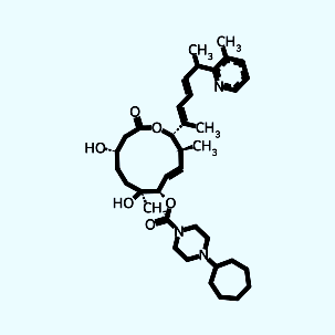 C/C(=C\C=C\C(C)c1ncccc1C)[C@H]1OC(=O)C[C@@H](O)CC[C@](C)(O)[C@@H](OC(=O)N2CCN(C3CCCCCC3)CC2)/C=C/[C@@H]1C